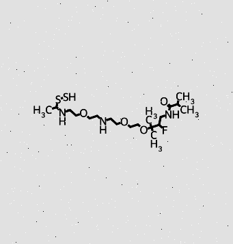 CC(NCCOCCNCCOCCOC(C)(C)C(F)CNC(=O)C(C)C)SS